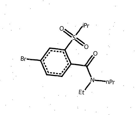 CCCN(CC)C(=O)c1ccc(Br)cc1S(=O)(=O)C(C)C